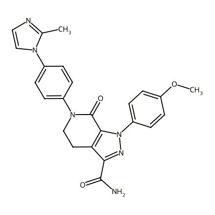 COc1ccc(-n2nc(C(N)=O)c3c2C(=O)N(c2ccc(-n4ccnc4C)cc2)CC3)cc1